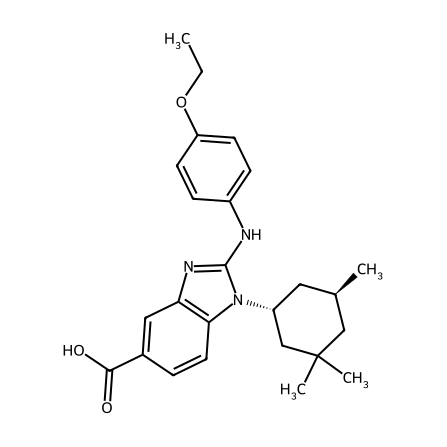 CCOc1ccc(Nc2nc3cc(C(=O)O)ccc3n2[C@@H]2C[C@@H](C)CC(C)(C)C2)cc1